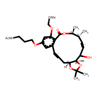 COCOc1cc(OCCCNC(C)=O)cc2c1C(=O)O[C@@H](C)[C@H](C)/C=C\C(O)[C@H]1OC(C)(C)O[C@H]1C/C=C/2